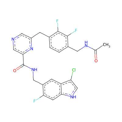 CC(=O)NCc1ccc(Cc2cncc(C(=O)NCc3cc4c(Cl)c[nH]c4cc3F)n2)c(F)c1F